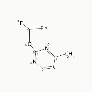 Cc1ccnc(OC(F)F)n1